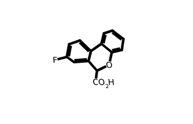 O=C(O)C1Oc2ccccc2-c2ccc(F)cc21